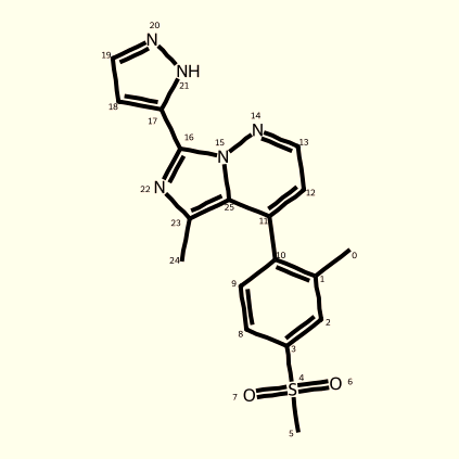 Cc1cc(S(C)(=O)=O)ccc1-c1ccnn2c(-c3ccn[nH]3)nc(C)c12